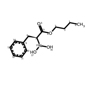 CCCCOC(=O)[C@H](Cc1ccccc1)N(O)O